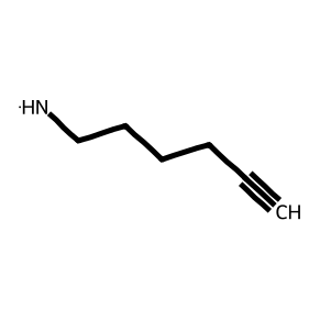 C#CCCCC[NH]